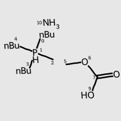 CCCC[PH](C)(CCCC)CCCC.COC(=O)O.N